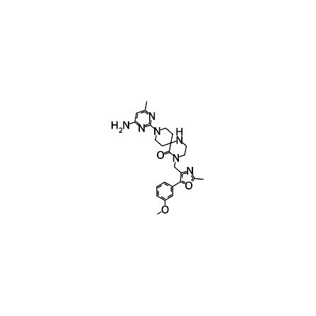 COc1cccc(-c2oc(C)nc2CN2CCNC3(CCN(c4nc(C)cc(N)n4)CC3)C2=O)c1